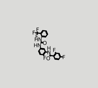 O=C(Nc1ccc(F)c(NC(=O)c2ccc(F)cc2F)c1)Nc1ccccc1C(F)(F)F